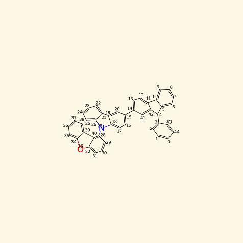 c1ccc(C2c3ccccc3-c3ccc(-c4ccc5c(c4)c4ccccc4n5-c4cccc5oc6ccccc6c45)cc32)cc1